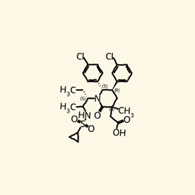 CC[C@@H](C(C)NS(=O)(=O)C1CC1)N1C(=O)[C@@](C)(CC(=O)O)C[C@H](c2cccc(Cl)c2)[C@H]1c1ccc(Cl)cc1